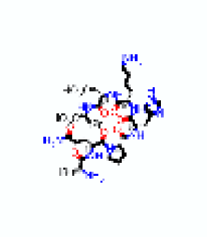 CC[C@H](C)[C@H](N)C(=O)N[C@@H](CCC(N)=O)C(=O)N1CCC[C@H]1C(=O)N[C@@H](Cc1c[nH]cn1)C(=O)N[C@@H](CCCCN)C(=O)N[C@@H](CC(=O)O)C(=O)N[C@H](C(=O)O)C(C)C